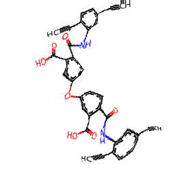 C#Cc1ccc(C#C)c(NC(=O)c2ccc(Oc3ccc(C(=O)Nc4cc(C#C)ccc4C#C)c(C(=O)O)c3)cc2C(=O)O)c1